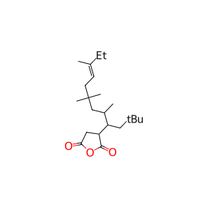 CC/C(C)=C/CC(C)(C)CC(C)C(CC(C)(C)C)C1CC(=O)OC1=O